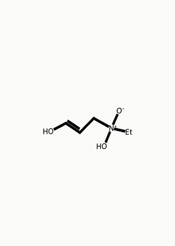 CC[N+]([O-])(O)CC=CO